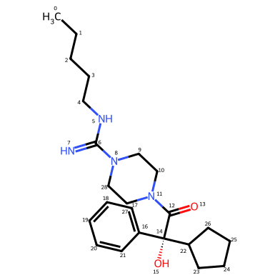 CCCCCNC(=N)N1CCN(C(=O)[C@](O)(c2ccccc2)C2CCCC2)CC1